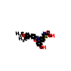 COc1ccc([C@H]2CC[C@H](CN(c3cccc(-c4cnc(C(=O)O)s4)c3)C(=O)[C@H]3CC[C@H](O)CC3)CC2)cc1C